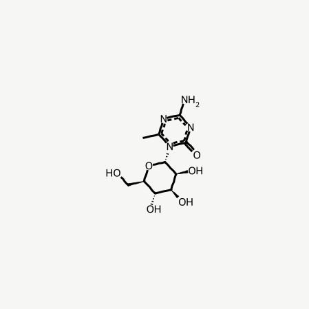 Cc1nc(N)nc(=O)n1[C@H]1O[C@H](CO)[C@@H](O)[C@H](O)[C@@H]1O